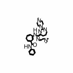 CN(C)C/C=N\C(NC1=CC(C(=O)Nc2ccccc2)=CCC=C1)=C1/CCC=NC(N2CCN(C)CC2)=N1